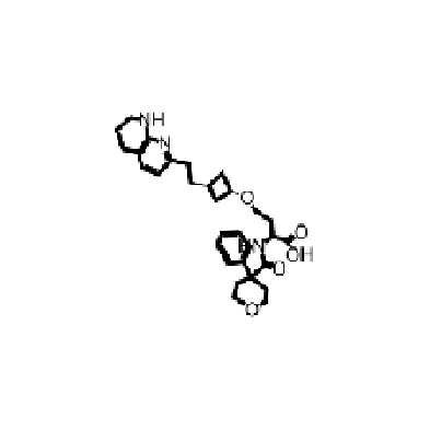 O=C(O)C(CCO[C@H]1C[C@H](CCc2ccc3c(n2)NCCC3)C1)NC(=O)C1(c2ccccc2)CCOCC1